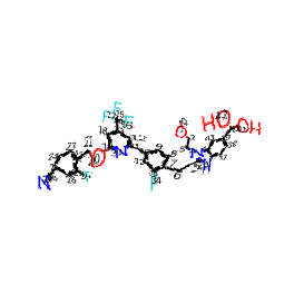 COCCn1c(Cc2ccc(-c3cc(C(F)(F)F)cc(OCc4ccc(C#N)cc4F)n3)cc2F)nc2ccc(C(O)O)cc21